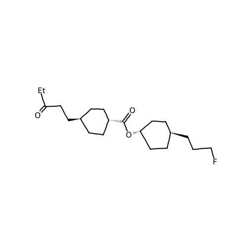 CCC(=O)CC[C@H]1CC[C@H](C(=O)O[C@H]2CC[C@H](CCCF)CC2)CC1